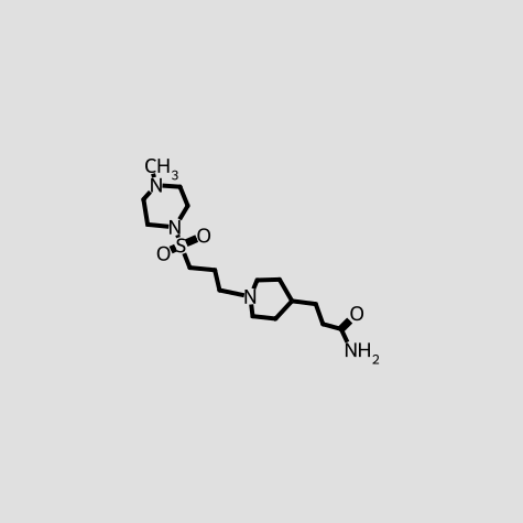 CN1CCN(S(=O)(=O)CCCN2CCC(CCC(N)=O)CC2)CC1